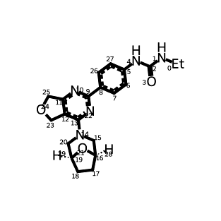 CCNC(=O)Nc1ccc(-c2nc3c(c(N4C[C@H]5CC[C@@H](C4)O5)n2)COC3)cc1